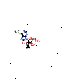 CSc1ncnc2c1ncn2[C@@H]1O[C@H](CO)[C@@H](O)[C@]1(O)C1CC1